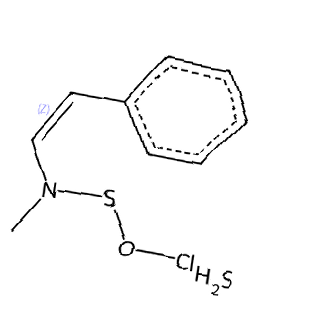 CN(/C=C\c1ccccc1)SOCl.S